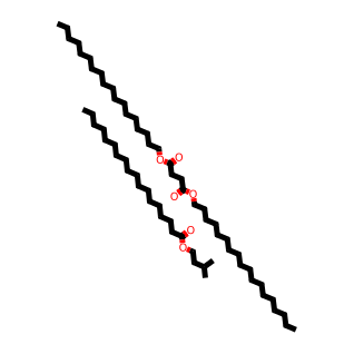 CCCCCCCCCCCCCCCCCC(=O)OCCC(C)C.CCCCCCCCCCCCCCCCCCOC(=O)CCC(=O)OCCCCCCCCCCCCCCCCCC